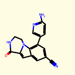 N#Cc1cc(-c2ccc(N)nc2)c2c(c1)cc1n2CCNC1=O